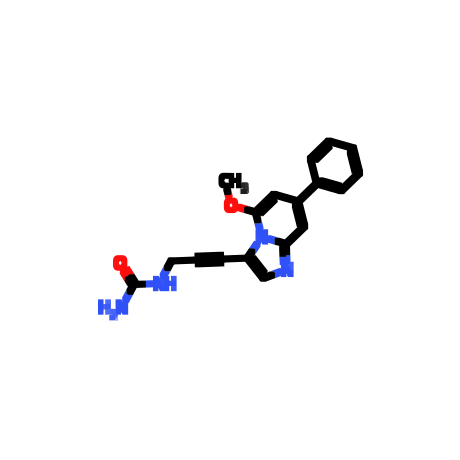 COc1cc(-c2ccccc2)cc2ncc(C#CCNC(N)=O)n12